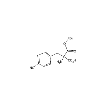 CC(C)(C)OC(=O)C(N)(Cc1ccc(C#N)cc1)C(=O)O